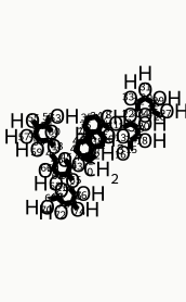 C=C1C[C@@]23CCC4[C@](C)(C(=O)OC5OC(CO)C(O)C(O)C5OC5OC(CO)C(O)C(O)C5O)CCC[C@@]4(C)[C@@H]2CCC1(OC1OC(COC2OC(CO)C(O)C(O)C2O)C(=O)C(O)C1OC1OC(CO)C(O)C(O)C1O)C3